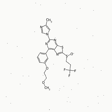 COCCOc1cccc(-c2nc(-n3cnc(C)c3)nc3sc([S+]([O-])CCC(F)(F)F)nc23)c1